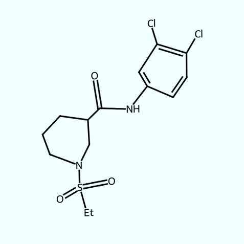 CCS(=O)(=O)N1CCCC(C(=O)Nc2ccc(Cl)c(Cl)c2)C1